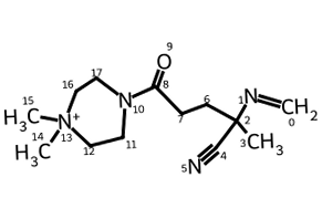 C=NC(C)(C#N)CCC(=O)N1CC[N+](C)(C)CC1